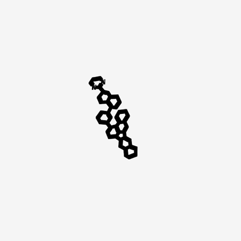 c1cnc(-c2ccc3c(-c4cccc(-c5ccc6c7c(cc8ccccc8c57)-c5cc7ccccc7cc5-6)c4)cccc3c2)nc1